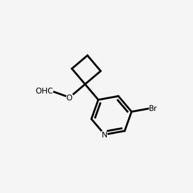 O=COC1(c2cncc(Br)c2)CCC1